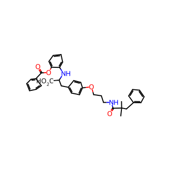 CC(C)(Cc1ccccc1)C(=O)NCCCOc1ccc(CC(Nc2ccccc2OC(=O)c2ccccc2)C(=O)O)cc1